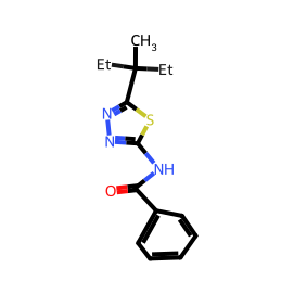 CCC(C)(CC)c1nnc(NC(=O)c2ccccc2)s1